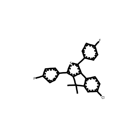 CC1(C)c2cc(Cl)ccc2-c2c(-c3ccc(F)cc3)sc(-c3ccc(F)cc3)c21